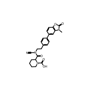 Cn1c(=O)oc2ccc(-c3ccc(CCN(C#N)C(=O)C4CCCCN4C(=O)O)cc3)cc21